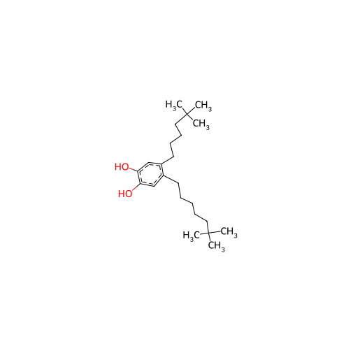 CC(C)(C)CCCCCc1cc(O)c(O)cc1CCCCC(C)(C)C